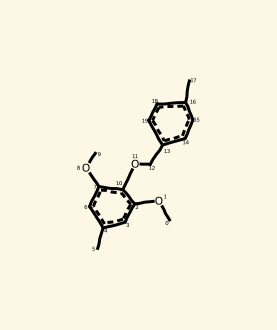 COc1cc(C)cc(OC)c1OCc1ccc(C)cc1